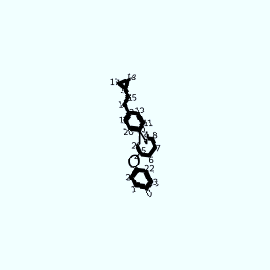 c1ccc(OC2CCCN(c3ccc(CCC4CC4)cc3)C2)cc1